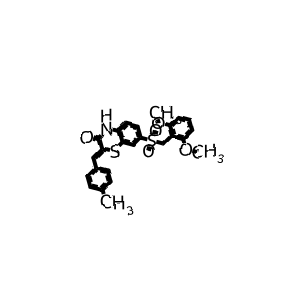 COc1cccc(OC)c1CS(=O)(=O)c1ccc2c(c1)S/C(=C\c1ccc(C)cc1)C(=O)N2